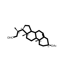 CC(=O)O[C@H]1CC[C@@]2(C)C(=CCC3C2CC[C@@]2(C)C3CC[C@@H]2[C@H](C)CC=O)C1